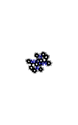 c1ccc(-c2c(-c3cc(N(c4ccccc4)c4ccccc4)c4ccc5c(-c6[nH]c7ccccc7c6-c6ccccc6)cc(N(c6ccccc6)c6ccccc6)c6ccc3c4c56)[nH]c3ccccc23)cc1